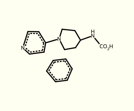 O=C(O)NC1CCN(c2ccncc2)CC1.c1ccccc1